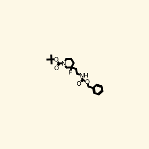 CC(C)(C)OC(=O)N1CCCC(F)(CCNC(=O)OCc2ccccc2)C1